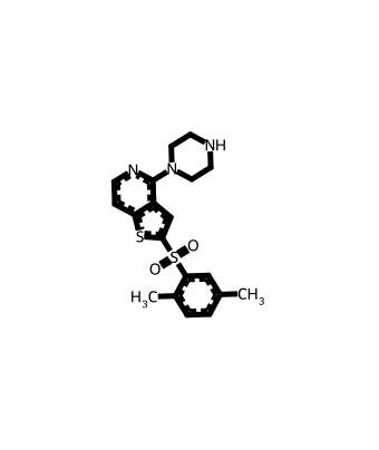 Cc1ccc(C)c(S(=O)(=O)c2cc3c(N4CCNCC4)nccc3s2)c1